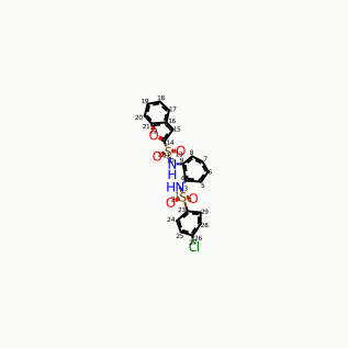 O=S(=O)(Nc1ccccc1NS(=O)(=O)c1cc2ccccc2o1)c1ccc(Cl)cc1